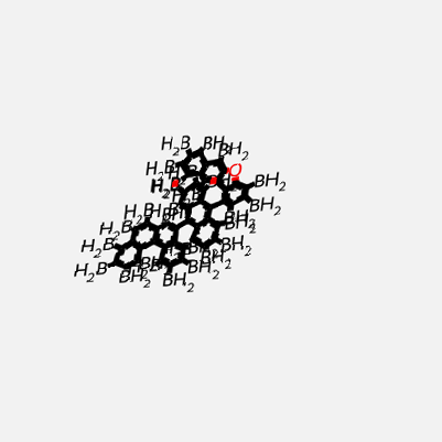 Bc1c(B)c(-c2c3c(B)c(B)c(B)c(B)c3c(-c3c(B)c4c(B)c(B)c5c(B)c(B)c(B)c(B)c5c4c4c(B)c(B)c(B)c(B)c34)c3c(B)c(B)c(B)c(B)c23)c2c(oc3c(B)c4c(B)c(B)c(B)c(B)c4c(B)c32)c1B